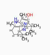 CC1=CC2(N=NC34C(O)=C(C)C(N)CC3C4(C)C)C(CC1)C2(C)C